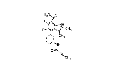 CC#CC(=O)N[C@H]1CCC[C@H](c2c(F)c(F)c(C(N)=O)c3[nH]c(C)c(C)c23)C1